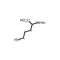 CC(=O)NC(CCCS)C(=O)O